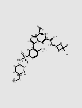 Cc1ccc(S(=O)(=O)N[C@H]2CC[C@H](CC#N)OC2)cc1-c1cnc2c(N)nc(C(=O)NC3CC(F)(F)C3)cn12